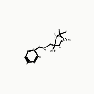 CCC1(COCc2ccccc2)COC(C)(C)O1